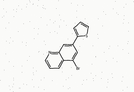 Brc1cc(-c2cccs2)cc2ncccc12